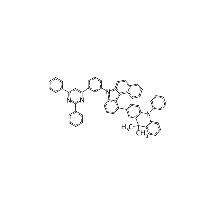 CC1(C)c2ccccc2N(c2ccccc2)c2ccc(-c3cccc4c3c3c5ccccc5ccc3n4-c3cccc(-c4cc(-c5ccccc5)nc(-c5ccccc5)n4)c3)cc21